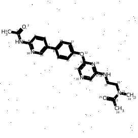 CC(=O)Nc1ccc(-c2ccc(Oc3cncc(NCCN(C)C(C)=O)n3)cc2)cn1